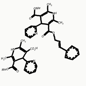 COC(=O)C1=C(C)NC(C)=C(C(=O)O)C1c1ccccn1.COC(=O)C1=C(C)NC(C)=C(C(=O)OCC=Cc2ccccc2)C1c1ccccn1